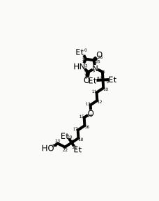 CCC1NC(=O)N(CC(CC)(CC)CCCCOCCCCC(CC)(CC)CCO)C1=O